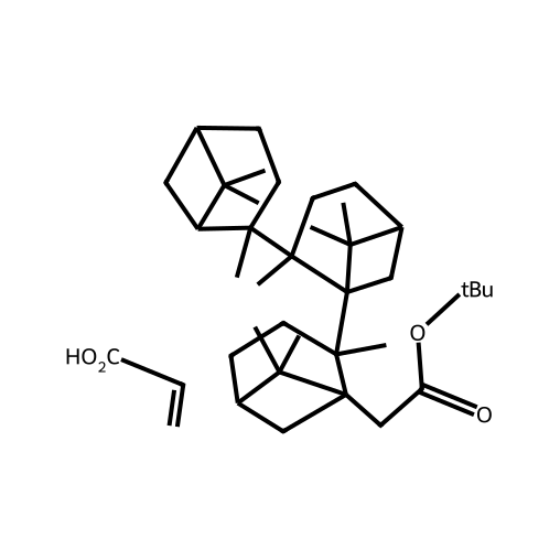 C=CC(=O)O.CC(C)(C)OC(=O)CC12CC(CCC1(C)C13CC(CCC1(C)C1(C)CCC4CC1C4(C)C)C3(C)C)C2(C)C